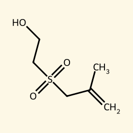 C=C(C)CS(=O)(=O)CCO